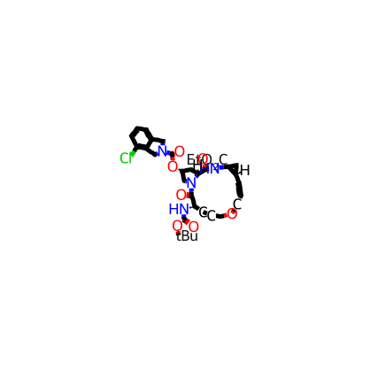 CCOC(=O)[C@@]12C[C@H]1C=CCOCCC[C@H](NC(=O)OC(C)(C)C)C(=O)N1C[C@H](OC(=O)N3Cc4cccc(Cl)c4C3)C[C@H]1C(=O)N2